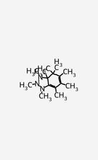 CC1=C(C)C(C)(C)C2(C)C(=C1C)N(C)N(C)N2C